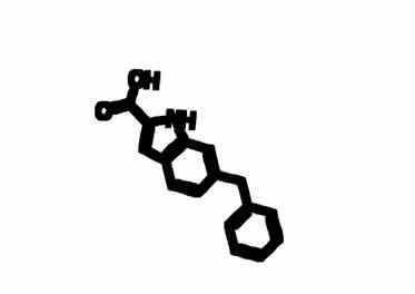 O=C(O)c1cc2ccc(Cc3ccccc3)cc2[nH]1